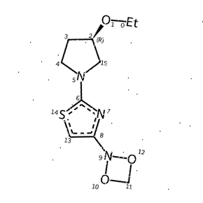 CCO[C@@H]1CCN(c2nc(N3OCO3)cs2)C1